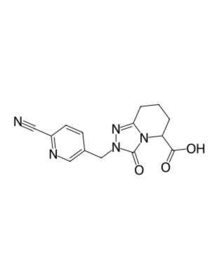 N#Cc1ccc(Cn2nc3n(c2=O)C(C(=O)O)CCC3)cn1